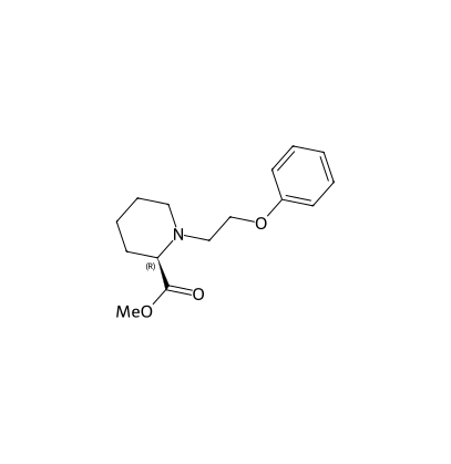 COC(=O)[C@H]1CCCCN1CCOc1ccccc1